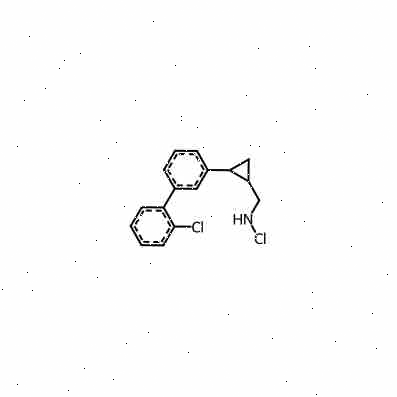 ClNCC1CC1c1cccc(-c2ccccc2Cl)c1